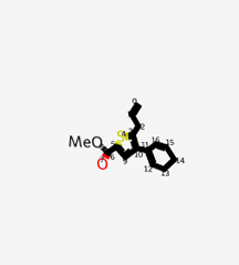 C=CCc1sc(C(=O)OC)cc1C1=CCCC=C1